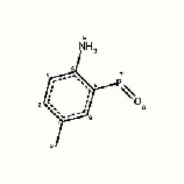 Cc1ccc(N)c(P=O)c1